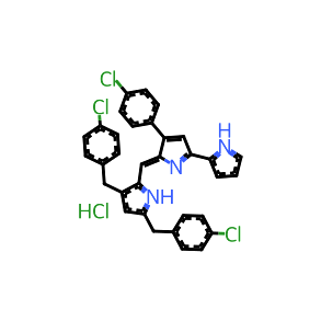 Cl.Clc1ccc(Cc2cc(Cc3ccc(Cl)cc3)c(C=C3N=C(c4ccc[nH]4)C=C3c3ccc(Cl)cc3)[nH]2)cc1